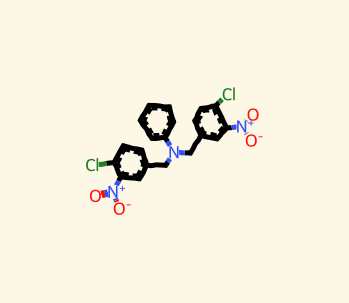 O=[N+]([O-])c1cc(CN(Cc2ccc(Cl)c([N+](=O)[O-])c2)c2ccccc2)ccc1Cl